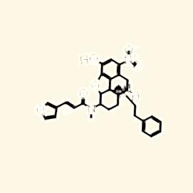 CN(C(=O)/C=C/c1ccoc1)C1CC[C@@]2(O)[C@H]3Cc4c([N+](=O)[O-])cc(O)c5c4[C@@]2(CCN3CCc2ccccc2)C1O5